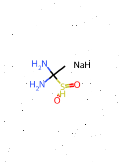 CC(N)(N)[SH](=O)=O.[NaH]